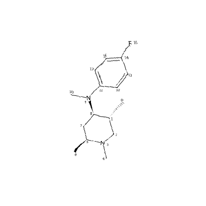 C[C@@H]1CN(C)[C@@H](C)C[C@H]1N(C)c1ccc(F)cc1